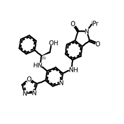 CC(C)N1C(=O)c2ccc(Nc3cc(N[C@H](CO)c4ccccc4)c(-c4nnco4)cn3)cc2C1=O